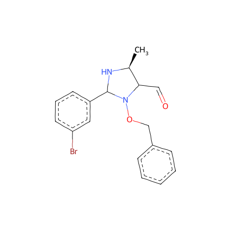 C[C@@H]1NC(c2cccc(Br)c2)N(OCc2ccccc2)C1C=O